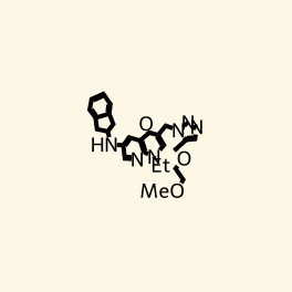 CCn1cc(Cn2nncc2COCCOC)c(=O)c2cc(NC3Cc4ccccc4C3)cnc21